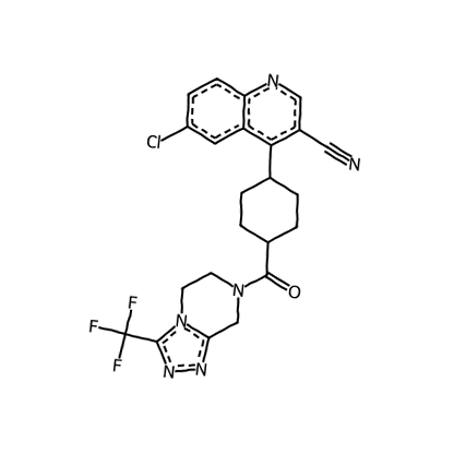 N#Cc1cnc2ccc(Cl)cc2c1C1CCC(C(=O)N2CCn3c(nnc3C(F)(F)F)C2)CC1